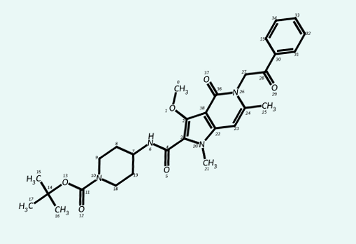 COc1c(C(=O)NC2CCN(C(=O)OC(C)(C)C)CC2)n(C)c2cc(C)n(CC(=O)c3ccccc3)c(=O)c12